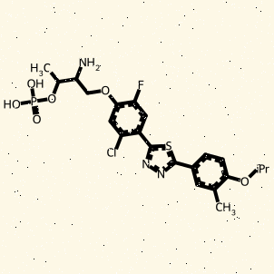 Cc1cc(-c2nnc(-c3cc(F)c(OCC(N)C(C)OP(=O)(O)O)cc3Cl)s2)ccc1OC(C)C